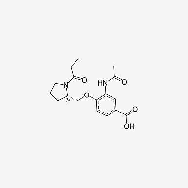 CCC(=O)N1CCC[C@H]1COc1ccc(C(=O)O)cc1NC(C)=O